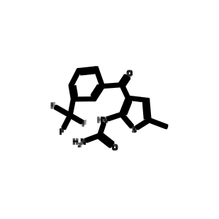 Cc1cc(C(=O)c2cccc(C(F)(F)F)c2)c(NC(N)=O)s1